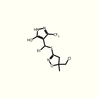 CCC(SC1=NOC(C)(CCl)C1)c1c(C(F)(F)F)n[nH]c1O